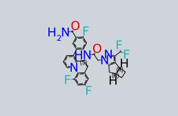 NC(=O)c1cc(-c2cccnc2[C@H](Cc2cc(F)cc(F)c2)NC(=O)Cn2nc(C(F)F)c3c2C[C@H]2CC[C@@H]32)ccc1F